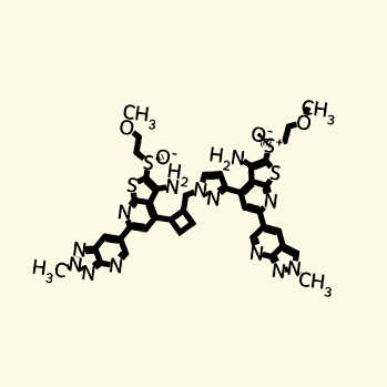 COCC[S+]([O-])c1sc2nc(-c3cnc4nn(C)nc4c3)cc(C3CCC3Cn3ccc(-c4cc(-c5cnc6nn(C)cc6c5)nc5sc([S@@+]([O-])CCOC)c(N)c45)n3)c2c1N